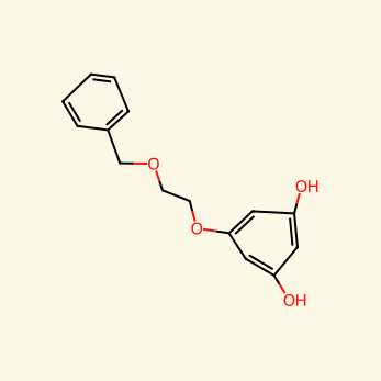 Oc1cc(O)cc(OCCOCc2ccccc2)c1